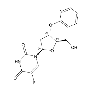 O=c1[nH]c(=O)n([C@H]2C[C@H](Oc3ccccn3)[C@@H](CO)O2)cc1F